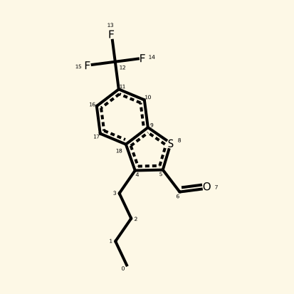 CCCCc1c(C=O)sc2cc(C(F)(F)F)ccc12